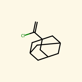 C=C(Cl)C12CC3CC(CC(C3)C1)C2